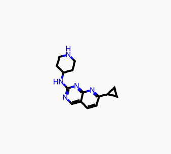 c1cc2cnc(NC3CCNCC3)nc2nc1C1CC1